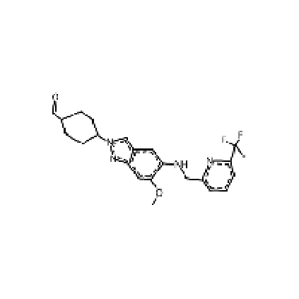 COc1cc2nn(C3CCC(C=O)CC3)cc2cc1NCc1cccc(C(F)(F)F)n1